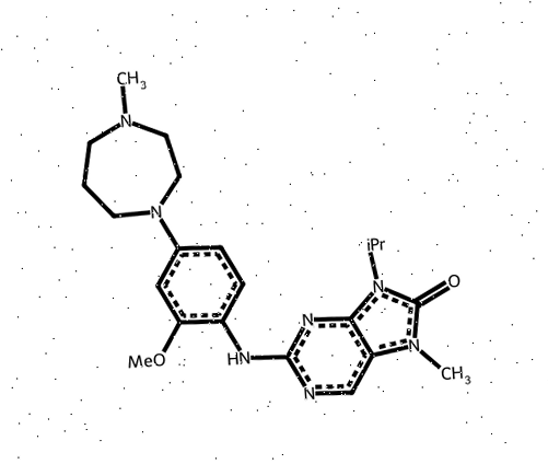 COc1cc(N2CCCN(C)CC2)ccc1Nc1ncc2c(n1)n(C(C)C)c(=O)n2C